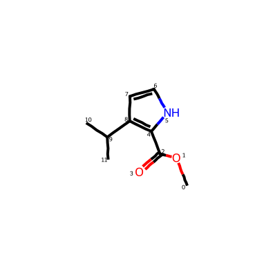 COC(=O)c1[nH]ccc1C(C)C